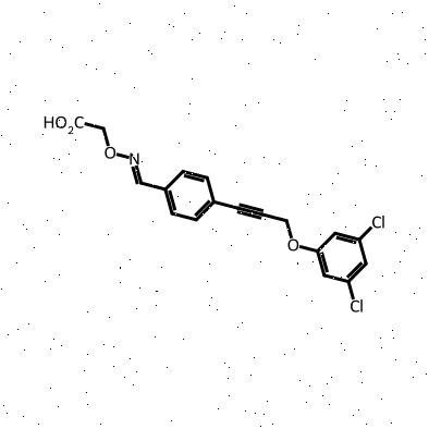 O=C(O)CON=Cc1ccc(C#CCOc2cc(Cl)cc(Cl)c2)cc1